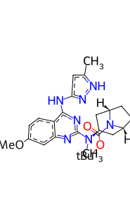 COc1ccc2c(Nc3cc(C)[nH]n3)nc(N(C)[C@@H]3C[C@H]4CC[C@@H](C3)N4C(=O)OC(C)(C)C)nc2c1